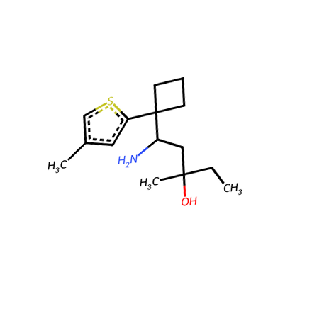 CCC(C)(O)CC(N)C1(c2cc(C)cs2)CCC1